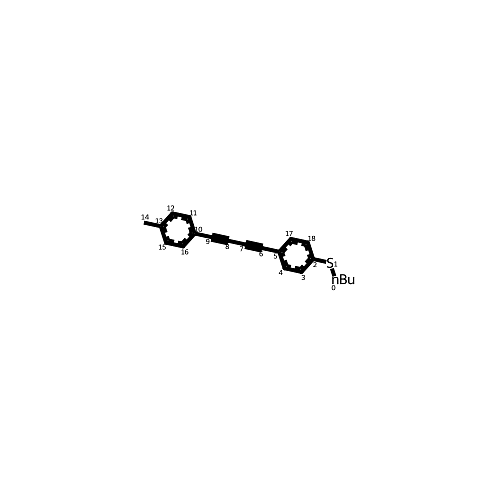 CCCCSc1ccc(C#CC#Cc2ccc(C)cc2)cc1